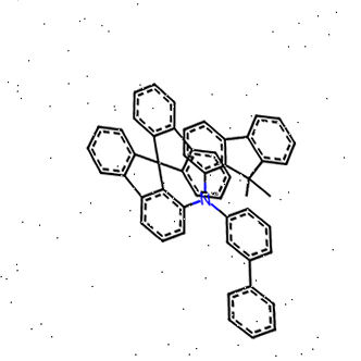 CC1(C)c2ccccc2-c2cccc(N(c3cccc(-c4ccccc4)c3)c3cccc4c3C3(c5ccccc5-c5ccccc53)c3ccccc3-4)c21